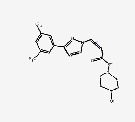 O=C(/C=C\n1cnc(-c2cc(C(F)(F)F)cc(C(F)(F)F)c2)n1)NN1CCC(O)CC1